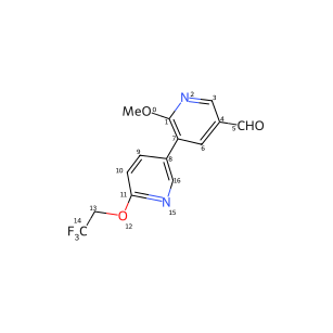 COc1ncc(C=O)cc1-c1ccc(OCC(F)(F)F)nc1